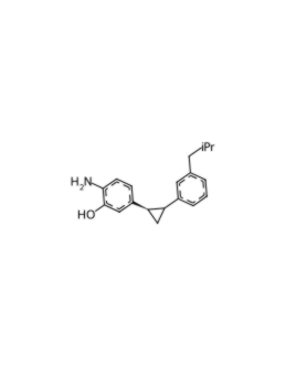 CC(C)Cc1cccc(C2C[C@H]2c2ccc(N)c(O)c2)c1